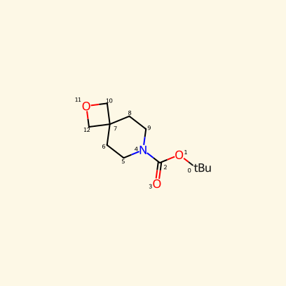 CC(C)(C)OC(=O)N1CCC2(CC1)COC2